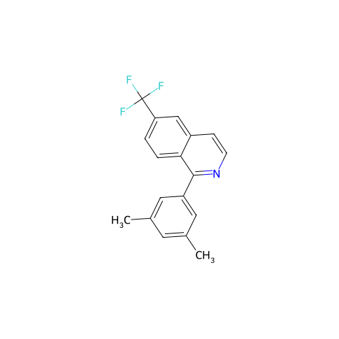 Cc1cc(C)cc(-c2nccc3cc(C(F)(F)F)ccc23)c1